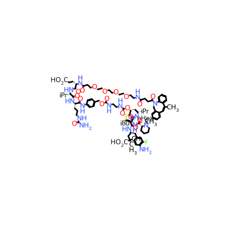 CCCCCCN(C(=O)[C@@H](NC(=O)[C@H]1CCCCN1C)[C@@H](C)CC)[C@H](C[C@@H](OC(=O)NCCNC(=O)OCc1ccc(NC(=O)[C@H](CCCNC(N)=O)NC(=O)[C@@H](NC(=O)[C@H](CCC(=O)O)NC(=O)CCOCCOCCOCCOCCNC(=O)CCC(=O)N2Cc3ccccc3/C=C(/C)c3ccccc32)C(C)C)cc1)c1nc(C(=O)N[C@@H](Cc2ccc(N)c(F)c2)CC(C)(C)C(=O)O)cs1)C(C)C